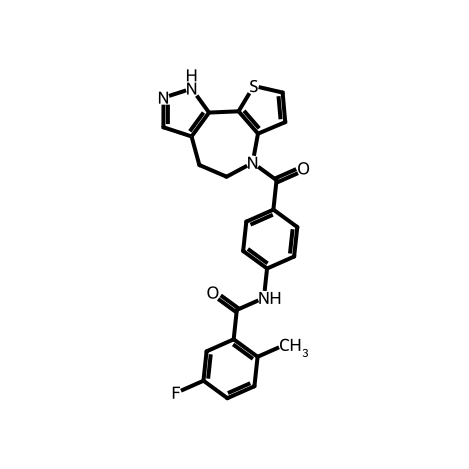 Cc1ccc(F)cc1C(=O)Nc1ccc(C(=O)N2CCc3cn[nH]c3-c3sccc32)cc1